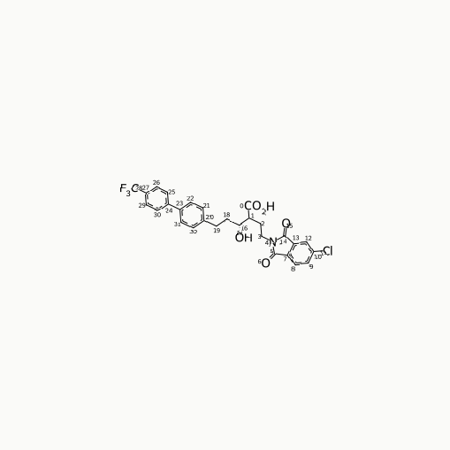 O=C(O)C(CCN1C(=O)c2ccc(Cl)cc2C1=O)[C@H](O)CCc1ccc(-c2ccc(C(F)(F)F)cc2)cc1